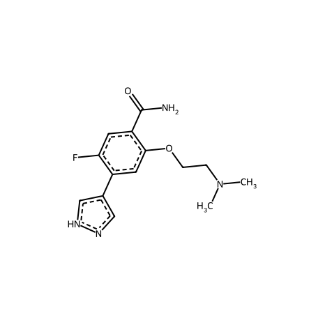 CN(C)CCOc1cc(-c2cn[nH]c2)c(F)cc1C(N)=O